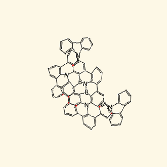 c1ccc(-c2cccc(-c3ccccc3)c2N2c3ccccc3B3c4c(cc(-n5c6ccccc6c6ccccc65)cc42)-c2cccc4c2N3B2c3ccccc3N(c3c(-c5ccccc5)cccc3-c3ccccc3)c3cc(-n5c6ccccc6c6ccccc65)cc-4c32)cc1